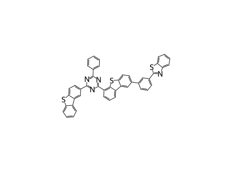 c1ccc(-c2nc(-c3ccc4sc5ccccc5c4c3)nc(-c3cccc4c3sc3ccc(-c5cccc(-c6nc7ccccc7s6)c5)cc34)n2)cc1